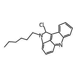 CCCCCCN1c2cccc3nc4ccccc4c(c23)C1Cl